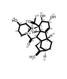 C=C1C[C@]23C[C@H]1CC[C@H]2C1=C[C@@H](O)[C@H](O)[C@@](C)(C(=O)I)[C@H]1[C@@H]3C(=O)N1CCC(O)CC1